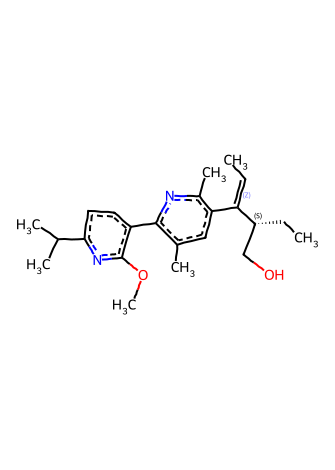 C/C=C(\c1cc(C)c(-c2ccc(C(C)C)nc2OC)nc1C)[C@H](CC)CO